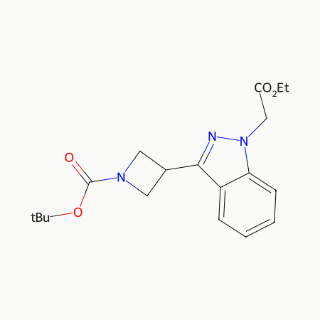 CCOC(=O)Cn1nc(C2CN(C(=O)OC(C)(C)C)C2)c2ccccc21